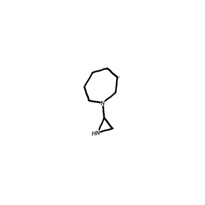 [CH]1CCCCN(C2CN2)C1